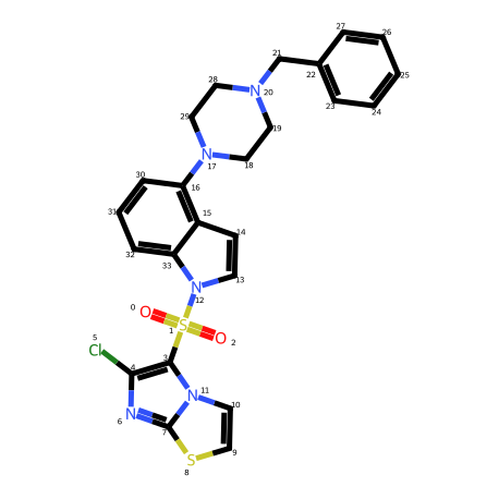 O=S(=O)(c1c(Cl)nc2sccn12)n1ccc2c(N3CCN(Cc4ccccc4)CC3)cccc21